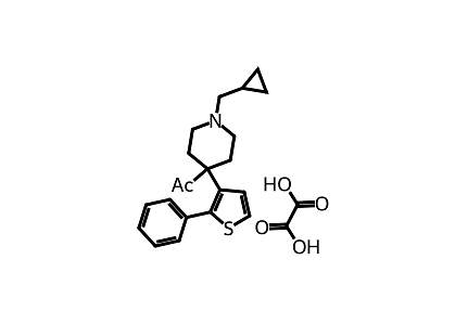 CC(=O)C1(c2ccsc2-c2ccccc2)CCN(CC2CC2)CC1.O=C(O)C(=O)O